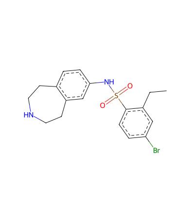 CCc1cc(Br)ccc1S(=O)(=O)Nc1ccc2c(c1)CCNCC2